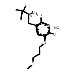 COCCCOc1cc(C[C@H](N)C(C)(C)C)c(I)nc1Cl.Cl